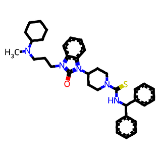 CN(CCCn1c(=O)n(C2CCN(C(=S)NC(c3ccccc3)c3ccccc3)CC2)c2ccccc21)C1CCCCC1